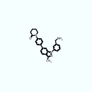 Cc1nn(-c2cccc(CN)c2)c2cc(-c3ccc(N4CCCCC4=O)cc3)ccc12